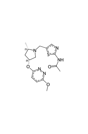 COc1ccc(O[C@@H]2C[C@H](C)N(Cc3cnc(NC(C)=O)s3)C2)nn1